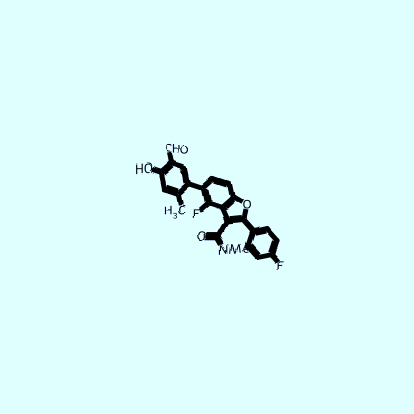 CNC(=O)c1c(-c2ccc(F)cc2)oc2ccc(-c3cc(C=O)c(O)cc3C)c(F)c12